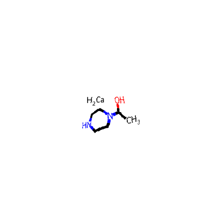 CC(O)N1CCNCC1.[CaH2]